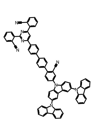 N#Cc1cc(-n2c3ccc(-n4c5ccccc5c5ccccc54)cc3c3cc(-n4c5ccccc5c5ccccc54)ccc32)ccc1-c1ccc(-c2ccc(-c3cc(-c4ccccc4C#N)nc(-c4ccccc4C#N)n3)cc2)cc1